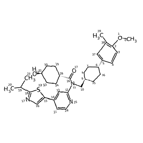 COc1ccc([C@H]2CC[C@H](CN(c3cc(-c4cnc(C(C)C)s4)ccn3)C(=O)[C@H]3CC[C@H](O)CC3)CC2)cc1C